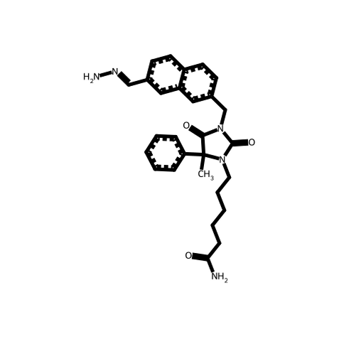 CC1(c2ccccc2)C(=O)N(Cc2ccc3ccc(C=NN)cc3c2)C(=O)N1CCCCCC(N)=O